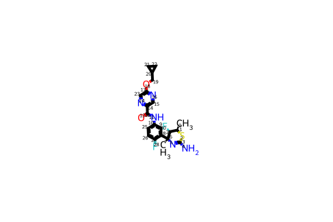 C[C@H]1SC(N)=N[C@](C)(c2cc(NC(=O)c3cnc(OCC4CC4)cn3)ccc2F)[C@H]1F